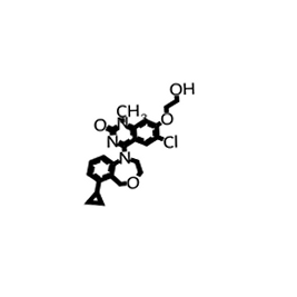 Cn1c(=O)nc(N2CCOCc3c(C4CC4)cccc32)c2cc(Cl)c(OCCO)cc21